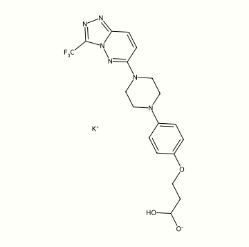 [K+].[O-]C(O)CCOc1ccc(N2CCN(c3ccc4nnc(C(F)(F)F)n4n3)CC2)cc1